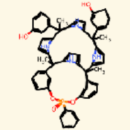 CC1(C2=CCCC(O)=C2)c2ccc([nH]2)C(C)(c2cccc(O)c2)c2ccc([nH]2)C2(C)c3cccc(c3)OP(=O)(c3ccccc3)Oc3cccc(c3)C(C)(c3ccc1[nH]3)c1ccc2[nH]1